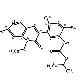 C=C(C)OC(=O)Nc1cc(-c2cc3cnc(Cl)cc3n(CC)c2=O)c(Cl)cc1F